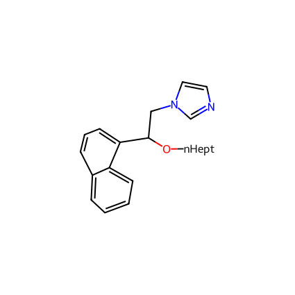 CCCCCCCOC(Cn1ccnc1)c1cccc2ccccc12